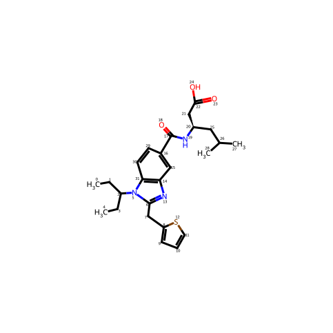 CCC(CC)n1c(Cc2cccs2)nc2cc(C(=O)N[C@@H](CC(=O)O)CC(C)C)ccc21